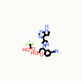 N#Cc1cccc(C(CC(=O)O)n2cc(-c3ncnc4[nH]ccc34)cn2)c1.O=C(O)C(F)(F)F